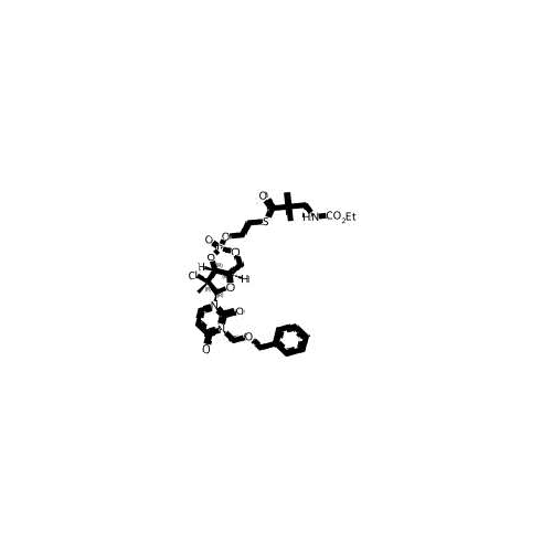 CCOC(=O)NCC(C)(C)C(=O)SCCOP1(=O)OC[C@H]2O[C@@H](n3ccc(=O)n(COCc4ccccc4)c3=O)[C@](C)(Cl)[C@@H]2O1